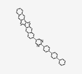 c1ccc(-c2ccc(-c3ccc(-c4ncc(-c5ccc6cc7c(cc6c5)sc5c6cc8ccccc8cc6sc75)cn4)cc3)cc2)cc1